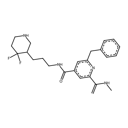 C=C(NC)c1cc(C(=O)NCCCC2CNCCC2(F)F)cc(Cc2ccccc2)n1